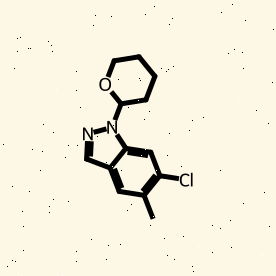 Cc1cc2cnn(C3CCCCO3)c2cc1Cl